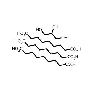 O=C(O)CCCCCCCC(=O)O.O=C(O)CCCCCCCC(=O)O.O=C(O)CCCCCCCC(=O)O.OCC(O)CO